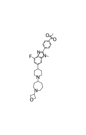 Cn1c(-c2ccc(S(C)(=O)=O)cc2)nc2c(F)cc(C3CCN(C4CCCN(C5COC5)CC4)CC3)cc21